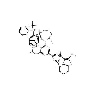 CC(Oc1nc(-c2noc([C@@]3(C)CCCc4sc(N)c(C#N)c43)n2)nc(N2C[C@](C)(O[Si](c3ccccc3)(c3ccccc3)C(C)(C)C)COC[C@H]2C)n1)[C@H]1C[C@@H](F)CN1C